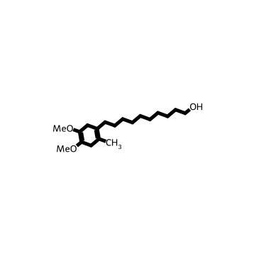 COC1=C(OC)CC(CCCCCCCCCCO)=C(C)C1